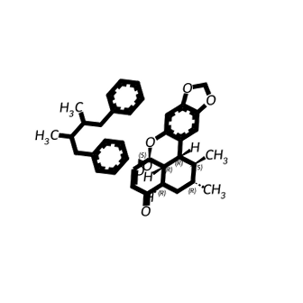 CC(Cc1ccccc1)C(C)Cc1ccccc1.C[C@@H]1[C@H]2c3cc4c(cc3O[C@@]35OCOC3=CC(=O)[C@H](C[C@H]1C)[C@@H]25)OCO4